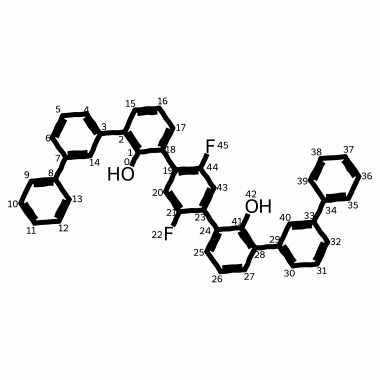 Oc1c(-c2cccc(-c3ccccc3)c2)cccc1-c1cc(F)c(-c2cccc(-c3cccc(-c4ccccc4)c3)c2O)cc1F